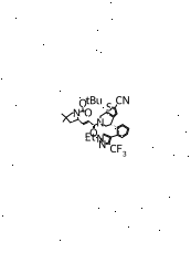 CCn1cc(-c2ccccc2[C@@H]2CN(C(=O)/C=C/[C@H]3CC(C)(C)CN3C(=O)OC(C)(C)C)Cc3sc(C#N)cc32)c(C(F)(F)F)n1